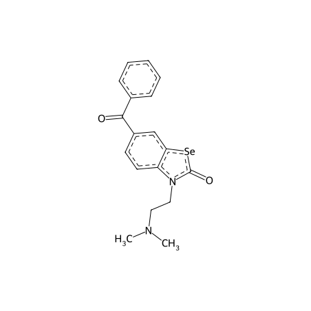 CN(C)CCn1c(=O)[se]c2cc(C(=O)c3ccccc3)ccc21